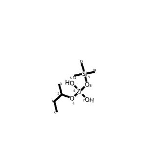 CCC(C)[O][Zr]([OH])([OH])[O][Si](C)(C)C